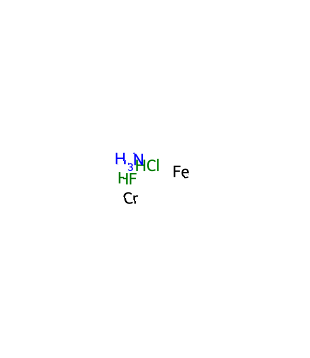 Cl.F.N.[Cr].[Fe]